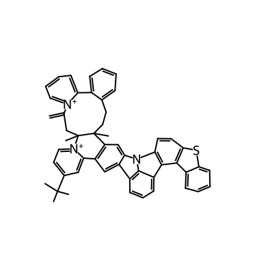 C=C1CC2(C)[n+]3ccc(C(C)(C)C)cc3-c3cc4c5cccc6c7c8c(ccc7n(c4cc3C2(C)CCc2ccccc2-c2cccc[n+]21)c56)sc1ccccc18